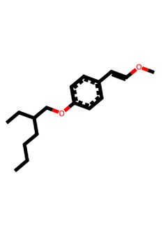 CCCCC(CC)COc1c[c]c(C=[C]OC)cc1